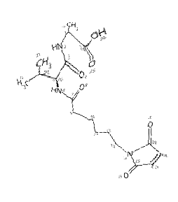 CC(NC(=O)[C@@H](NC(=O)CCCCCN1C(=O)C=CC1=O)C(C)C)C(=O)O